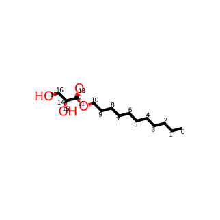 CCCCCCCCCCCOC(=O)C(O)CO